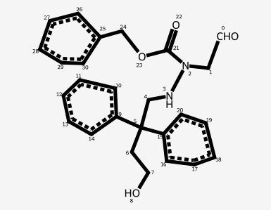 O=CCN(NCC(CCO)(c1ccccc1)c1ccccc1)C(=O)OCc1ccccc1